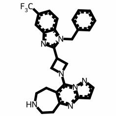 FC(F)(F)c1ccc2c(c1)nc(C1CN(c3c4c(nc5ccnn35)CCNCC4)C1)n2Cc1ccccc1